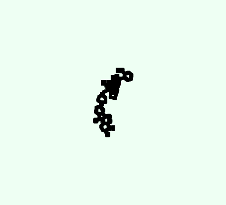 Nc1nnc(-c2ccccc2O)cc1N1CC2CCC(C1)N2c1ccccc1OCCN1CCN(c2ccc3c(c2)C(=O)N(C2CCC(=O)NC2=O)C3=O)CC1